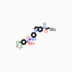 CC(C)(C)CC(=O)Nc1ccc2c(ccn2-c2ccc(NC(=O)N(O)c3ccc(Cl)c(C(F)(F)F)c3)cc2)c1